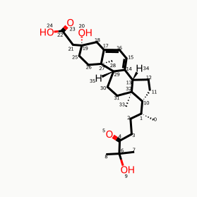 C[C@H](CCC(=O)C(C)(C)O)[C@H]1CC[C@H]2C3=CC=C4C[C@](O)(CC(=O)O)CC[C@]4(C)[C@H]3CC[C@]12C